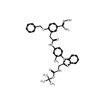 Cc1cc(NC(=O)Cc2cc(C(N)=NO)ccc2OCc2ccccc2)ccc1-n1c(CNC(=O)OC(C)(C)C)nc2ccccc21